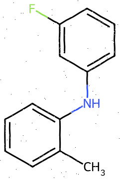 Cc1ccccc1Nc1cccc(F)c1